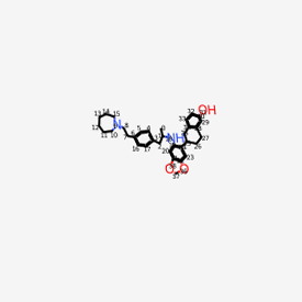 CC(Cc1ccc(CCN2CCCCCC2)cc1)Nc1cc2c(cc1C1CCc3cc(O)ccc3C1)OCO2